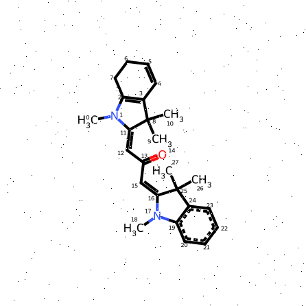 CN1C2=C(C=CCC2)C(C)(C)/C1=C\C(=O)/C=C1/N(C)c2ccccc2C1(C)C